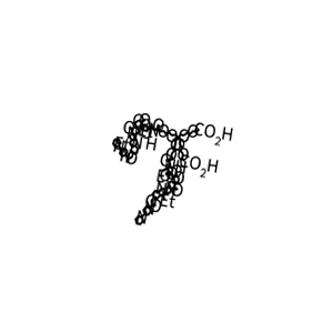 C=C(Oc1ccc2nc3c(c(CC)c2c1)Cn1c-3cc2c(c1=O)COC(=O)C2(CC)OC(=O)CNC(=O)COCCOCC(COCCOCC(=O)O)(COCCOCC(=O)O)COCCOCC(=O)NCC(=O)OC1(CC)C(=O)OCc2c1cc1n(c2=O)Cc2c-1nc1ccc(OC(=O)N3CCC(N4CCCCC4)CC3)cc1c2CC)N1CCC(N2CCCCC2)CC1